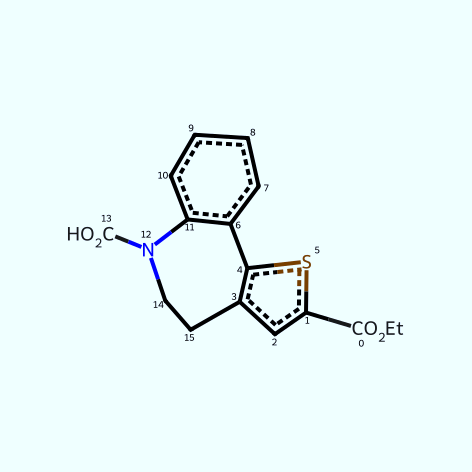 CCOC(=O)c1cc2c(s1)-c1ccccc1N(C(=O)O)CC2